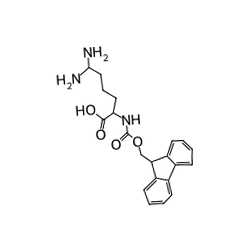 NC(N)CCCC(NC(=O)OCC1c2ccccc2-c2ccccc21)C(=O)O